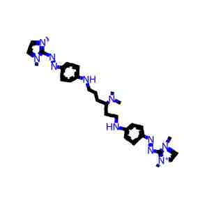 CN(C)C(CCCNc1ccc(N=Nc2n(C)cc[n+]2C)cc1)CCNc1ccc(N=Nc2n(C)cc[n+]2C)cc1